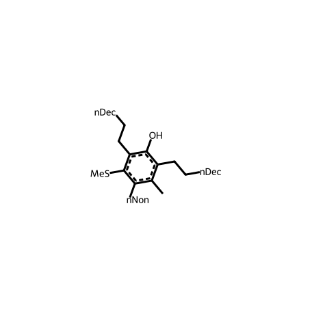 CCCCCCCCCCCCc1c(C)c(CCCCCCCCC)c(SC)c(CCCCCCCCCCCC)c1O